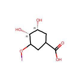 O=C(O)C1CC(OI)[C@H](O)[C@H](O)C1